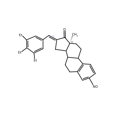 CCc1cc(/C=C2\CC3C4CCc5cc(N=O)ccc5C4CC[C@]3(C)C2=O)cc(CC)c1CC